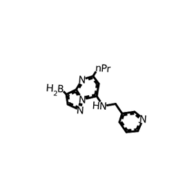 Bc1cnn2c(NCc3cccnc3)cc(CCC)nc12